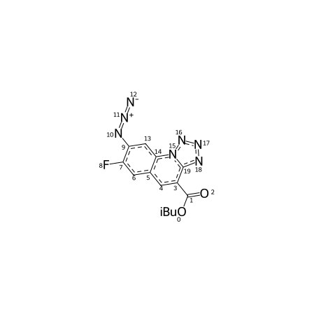 CC(C)COC(=O)c1cc2cc(F)c(N=[N+]=[N-])cc2n2nnnc12